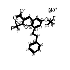 O=C([O-])C1=Cc2cc(OC(F)(F)F)cc(CCc3ccccc3)c2OC1C(F)(F)F.[Na+]